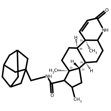 CC1C[C@H]2[C@@H]3CCC4NC(=O)C=C[C@]4(C)[C@@H]3CC[C@]2(C)C1C(=O)NCC12CC3CC(CC(C3)C1)C2